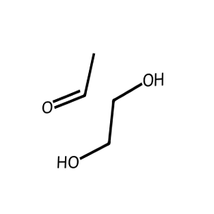 CC=O.OCCO